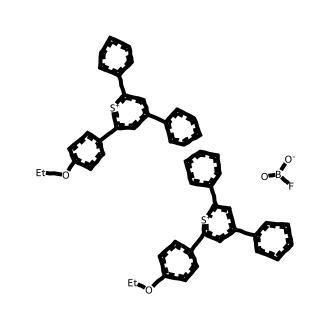 CCOc1ccc(-c2cc(-c3ccccc3)cc(-c3ccccc3)[s+]2)cc1.CCOc1ccc(-c2cc(-c3ccccc3)cc(-c3ccccc3)[s+]2)cc1.[O-]B([O-])F